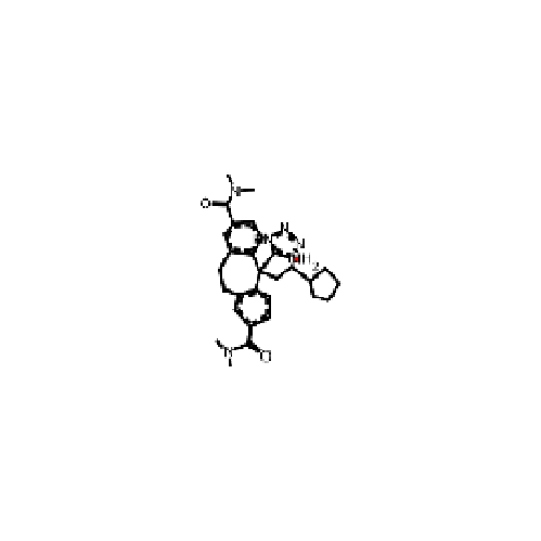 CN(C)C(=O)c1ccc2c(c1)CCc1cc(C(=O)N(C)C)ccc1C2(C[C@@H](N)C1CCCC1)c1nnn[nH]1